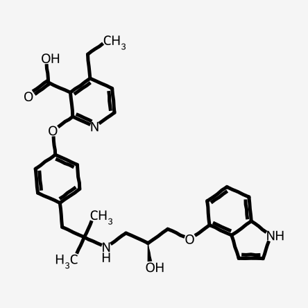 CCc1ccnc(Oc2ccc(CC(C)(C)NC[C@H](O)COc3cccc4[nH]ccc34)cc2)c1C(=O)O